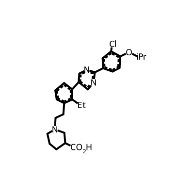 CCc1c(CCN2CCCC(C(=O)O)C2)cccc1-c1cnc(-c2ccc(OC(C)C)c(Cl)c2)nc1